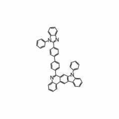 c1ccc(-n2c(-c3ccc(-c4ccc(-c5nc6ccccc6c6cc7c8ccccc8n(-c8ccccc8)c7cc56)cc4)cc3)nc3ccccc32)cc1